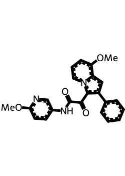 COc1ccc(NC(=O)C(=O)c2c(-c3ccccc3)cc3c(OC)cccn23)cn1